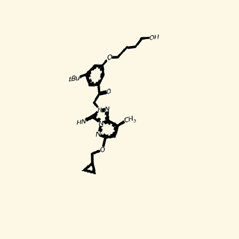 Cc1cc(OCC2CC2)nn2c(=N)n(CC(=O)c3cc(OCCCCO)cc(C(C)(C)C)c3)nc12